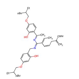 C=C(C\C=C/C(=C\C)C(=N/Cc1ccc(OCC(CC)CCCC)cc1O)/N=C(\C)c1ccc(OCC(CC)CCCC)cc1O)OC